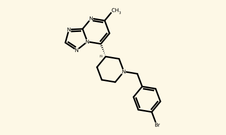 Cc1cc([C@H]2CCCN(Cc3ccc(Br)cc3)C2)n2ncnc2n1